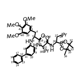 COc1cc(CC(Nc2cccc(-c3ccccc3)c2)C(=O)NC(C(=O)NC(CC(C)C)B2OC(C)(C)C(C)(C)O2)C(C)C)cc(OC)c1OC